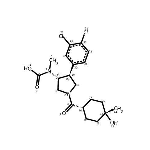 CN(C(=O)O)[C@H]1CN(C(=O)[C@H]2CC[C@@](C)(O)CC2)C[C@@H]1c1ccc(Cl)c(Cl)c1